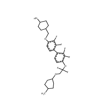 CCCC1CCC(COc2ccc(-c3ccc(OC(F)(F)COC4CCC(C)CC4)c(F)c3F)c(F)c2F)CC1